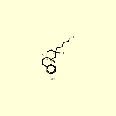 C[C@@]12CCc3cc(O)ccc3[C@H]1C[C@@](O)(CCCCO)CC2